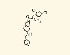 NC(Cc1ccc(Cl)cc1Cl)C(=O)N1Cc2ccc(NCc3ccncc3)cc2C1